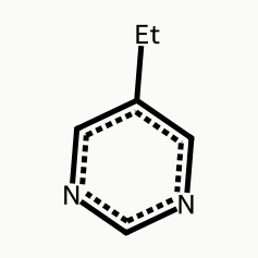 [CH2]Cc1cncnc1